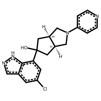 OC1(c2cc(Cl)cc3cn[nH]c23)C[C@H]2CN(c3ccncc3)C[C@H]2C1